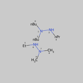 CCCCN(CCCC)NCCC.CCNN(C)C